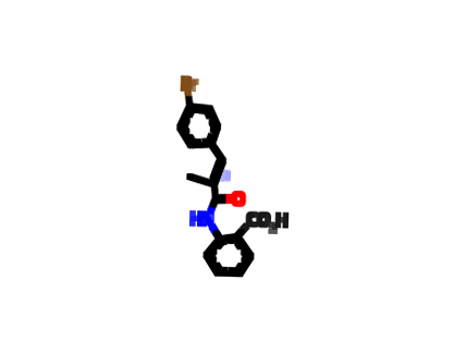 C/C(=C\c1ccc(Br)cc1)C(=O)Nc1ccccc1C(=O)O